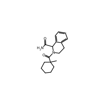 CC1(C(=O)N2CCc3c[c]ccc3C2C(N)=O)CCCCC1